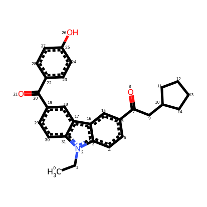 CCn1c2ccc(C(=O)CC3CCCC3)cc2c2cc(C(=O)c3ccc(O)cc3)ccc21